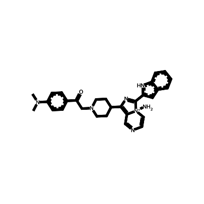 CN(C)c1ccc(C(=O)CN2CCC(C3=C4C=NC=C[N+]4(N)C(c4cc5ccccc5[nH]4)=N3)CC2)cc1